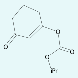 CC(C)OC(=O)OC1=CC(=O)CCC1